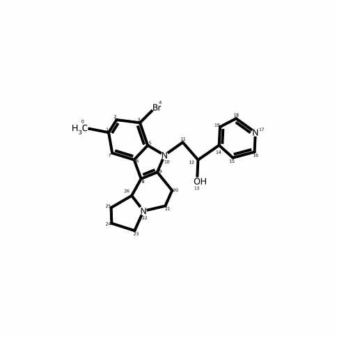 Cc1cc(Br)c2c(c1)c1c(n2CC(O)c2ccncc2)CCN2CCCC12